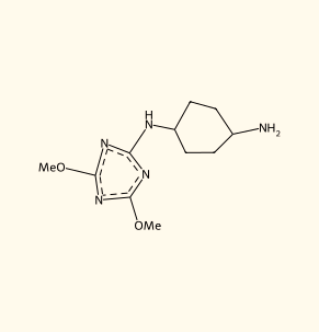 COc1nc(NC2CCC(N)CC2)nc(OC)n1